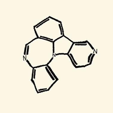 C1=Nc2ccccc2-n2c3ccncc3c3cccc1c32